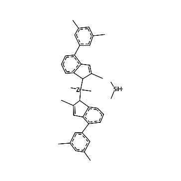 CC1=Cc2c(-c3cc(C)cc(C)c3)cccc2[CH]1[Zr]([CH3])([CH3])[CH]1C(C)=Cc2c(-c3cc(C)cc(C)c3)cccc21.C[SiH]C